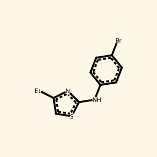 CCc1csc(Nc2ccc(Br)cc2)n1